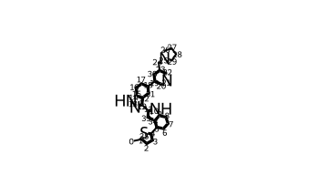 Cc1ccc(-c2cccc3[nH]c(-c4n[nH]c5ccc(-c6cncc(CN7CCCC7)c6)cc45)cc23)s1